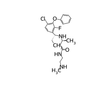 CC[C@@H](N[C@@H](C)CC(=O)NCCNC)c1ccc(Cl)c(Oc2ccccc2)c1F